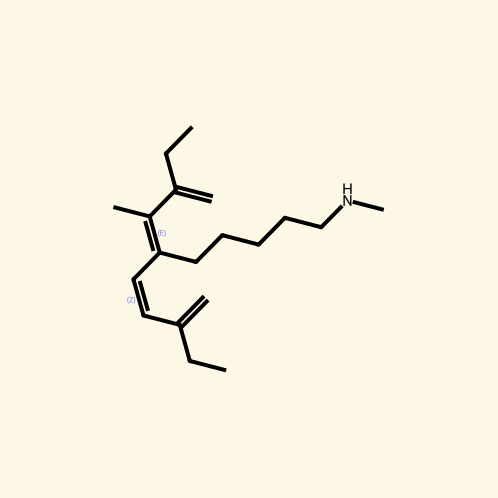 C=C(/C=C\C(CCCCCNC)=C(/C)C(=C)CC)CC